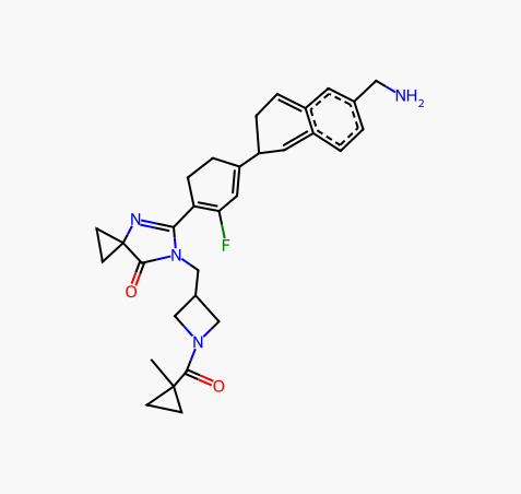 CC1(C(=O)N2CC(CN3C(=O)C4(CC4)N=C3C3=C(F)C=C(C4C=c5ccc(CN)cc5=CC4)CC3)C2)CC1